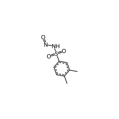 Cc1ccc(S(=O)(=O)NN=O)cc1C